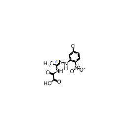 C/C(=N/Nc1cc(Cl)ccc1[N+](=O)[O-])NC(=O)C(=O)O